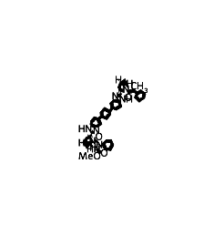 COC(=O)NN(C(=O)N1[C@@H]2C[C@@H]2C[C@H]1c1nc2cc(-c3ccc(-c4ccc5[nH]c([C@@H]6C[C@H]7C[C@H]7N6C(=O)[C@H](C)c6ccccc6)nc5c4)cc3)ccc2[nH]1)c1ccccc1